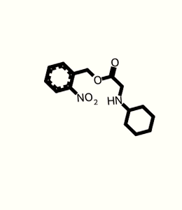 O=C(CNC1CCCCC1)OCc1ccccc1[N+](=O)[O-]